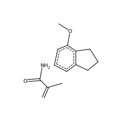 C=C(C)C(N)=O.COc1cccc2c1CCC2